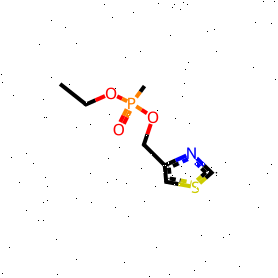 CCOP(C)(=O)OCc1cs[c]n1